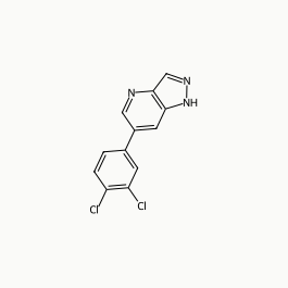 Clc1ccc(-c2cnc3cn[nH]c3c2)cc1Cl